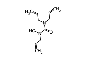 C=CCN(O)C(=O)N(CC=C)CC=C